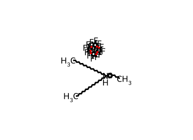 CCCCCCCCCCCCCCCCCC[NH+](CCCCCCCCCCCCCCCCCC)c1ccc(CCCC)cc1.Fc1c(F)c(F)c([B-](c2c(F)c(F)c(F)c(F)c2F)(c2c(F)c(F)c(F)c(F)c2F)c2c(F)c(F)c(F)c(F)c2F)c(F)c1F